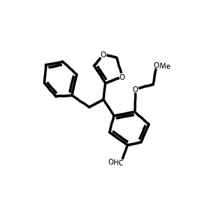 COCOc1ccc(C=O)cc1C(Cc1ccccc1)C1=COCO1